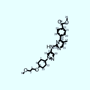 COCCOC1CCC(n2cc(Nc3ncc(C)c(-c4ccc(C(=O)OC)cc4)n3)cn2)CC1